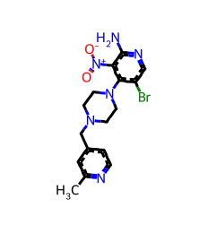 Cc1cc(CN2CCN(c3c(Br)cnc(N)c3[N+](=O)[O-])CC2)ccn1